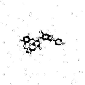 Cn1cnc(Cn2c(=O)nc(Nc3cc4cn(C5CCNCC5)nc4cc3Cl)n(Cc3cc(Cl)c(F)cc3F)c2=O)n1